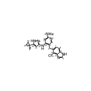 CNc1ncc(Cc2ccc3[nH]cnc3c2Cl)c(Nc2cc(C3(F)CC3)[nH]n2)n1